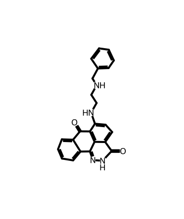 O=C1c2ccccc2-c2n[nH]c(=O)c3ccc(NCCNCc4ccccc4)c1c23